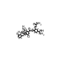 C[N+](C(N)=O)(c1cc(Cl)cc(C(=O)NCc2ccc(C(=N)N)cc2OCC(N)=O)c1)S(=O)(=O)Cc1cccc(F)c1